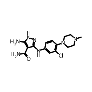 CN1CCN(c2ccc(Nc3n[nH]c(N)c3C(N)=O)cc2Cl)CC1